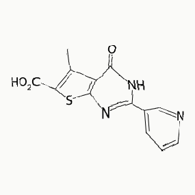 Cc1c(C(=O)O)sc2nc(-c3cccnc3)[nH]c(=O)c12